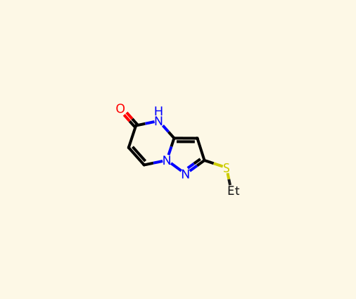 CCSc1cc2[nH]c(=O)ccn2n1